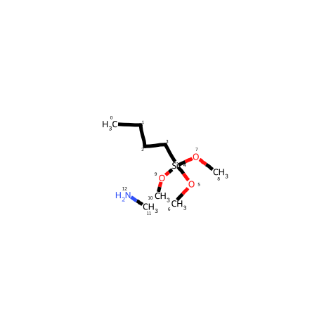 CCCC[Si](OC)(OC)OC.CN